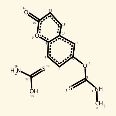 CNC(=S)Oc1ccc2oc(=O)ccc2c1.NC(O)=S